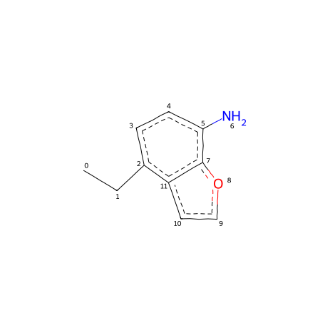 CCc1ccc(N)c2occc12